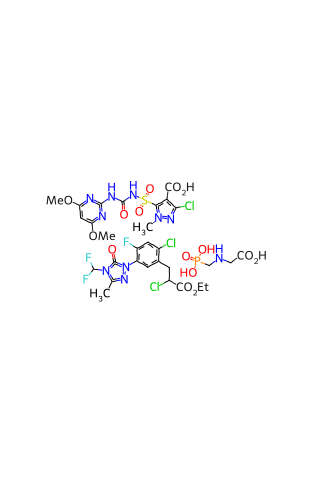 CCOC(=O)C(Cl)Cc1cc(-n2nc(C)n(C(F)F)c2=O)c(F)cc1Cl.COc1cc(OC)nc(NC(=O)NS(=O)(=O)c2c(C(=O)O)c(Cl)nn2C)n1.O=C(O)CNCP(=O)(O)O